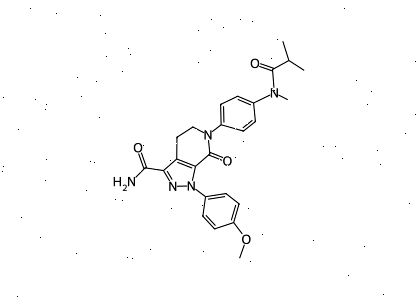 COc1ccc(-n2nc(C(N)=O)c3c2C(=O)N(c2ccc(N(C)C(=O)C(C)C)cc2)CC3)cc1